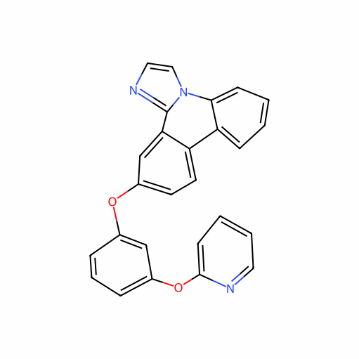 c1ccc(Oc2cccc(Oc3ccc4c5ccccc5n5ccnc5c4c3)c2)nc1